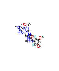 C=CC(=O)Nc1cn(C)nc1Nc1cc(N(C)C(=O)Nc2c(F)c(OC)cc(OC)c2F)ncn1